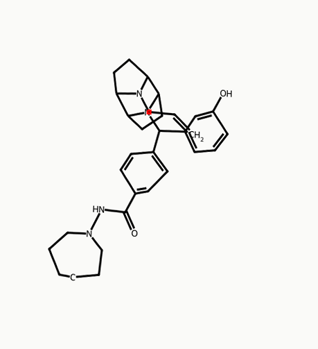 C=CCN1C2CCC1C1CCC2N1C(c1ccc(C(=O)NN2CCCCCC2)cc1)c1cccc(O)c1